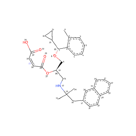 Cc1ccccc1[C@H](OC[C@@H](CNC(C)(C)Cc1ccc2ccccc2c1)OC(=O)/C=C\C(=O)O)C1CC1